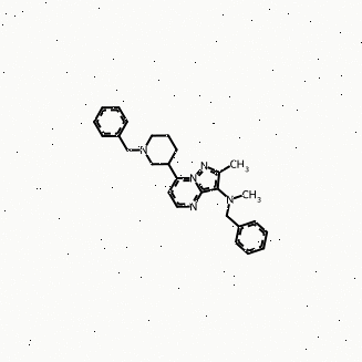 Cc1nn2c(C3CCCN(Cc4ccccc4)C3)ccnc2c1N(C)Cc1ccccc1